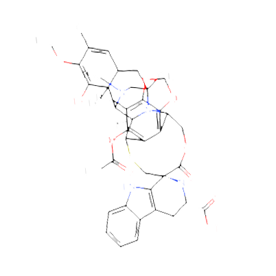 COC1=C(O)C2(C)C(C=C1C)CC1(C)CN(C)C2[C@@H]2[C@@H]3SC[C@]4(N[C@H](C(=O)O)Cc5c4[nH]c4ccccc54)C(=O)OC[C@@H](c4c5c(c(C)c(OC(C)=O)c43)OCO5)N21